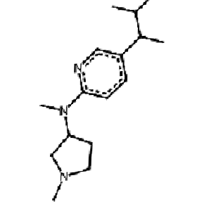 CC(C)C(C)c1ccc(N(C)C2CCN(C)C2)nc1